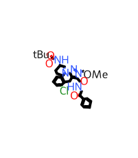 COCn1nc(N2CCC[C@@H](NC(=O)OC(C)(C)C)C2)c(Cc2ccccc2Cl)c1C(=O)NCC(=O)c1ccccc1